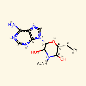 CC(=O)NN1C(O)[C@H](n2cnc3c(N)ncnc32)O[C@H](CC(C)C)C1O